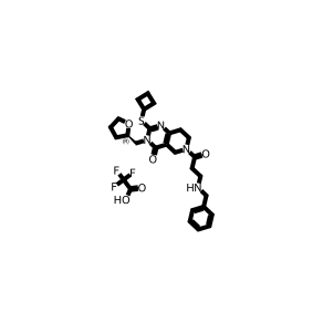 O=C(CCNCc1ccccc1)N1CCc2nc(SC3CCC3)n(C[C@H]3CCCO3)c(=O)c2C1.O=C(O)C(F)(F)F